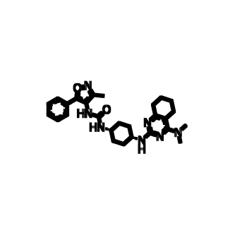 Cc1noc(-c2ccccc2)c1NC(=O)N[C@H]1CC[C@@H](Nc2nc3c(c(N(C)C)n2)CCCC3)CC1